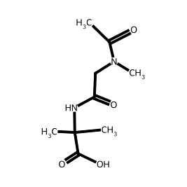 CC(=O)N(C)CC(=O)NC(C)(C)C(=O)O